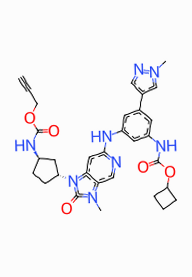 C#CCOC(=O)N[C@@H]1CC[C@@H](n2c(=O)n(C)c3cnc(Nc4cc(NC(=O)OC5CCC5)cc(-c5cnn(C)c5)c4)cc32)C1